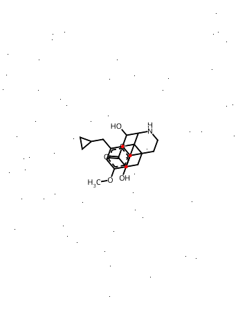 COc1cc(CC2CC2)c2c(c1)C13CCNC(C2O)C12CCC(O)(C3)C(=O)O2